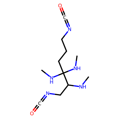 CNC(CN=C=O)C(CCCN=C=O)(NC)NC